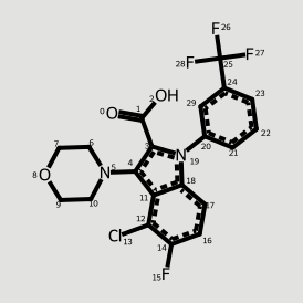 O=C(O)c1c(N2CCOCC2)c2c(Cl)c(F)ccc2n1-c1cccc(C(F)(F)F)c1